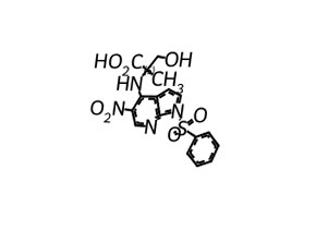 C[C@@](CO)(Nc1c([N+](=O)[O-])cnc2c1ccn2S(=O)(=O)c1ccccc1)C(=O)O